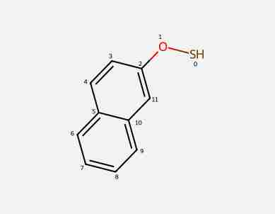 SOc1ccc2ccccc2c1